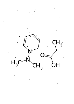 CCC(=O)O.CN(C)N1C=CC=CC1